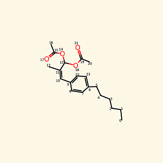 CCCCCCc1ccc(C=C(C)C(OC(C)=O)OC(C)=O)cc1